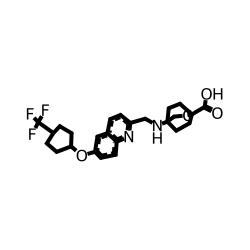 O=C(O)C12CCC(NCc3ccc4cc(OC5CCC(C(F)(F)F)CC5)ccc4n3)(CC1)CC2